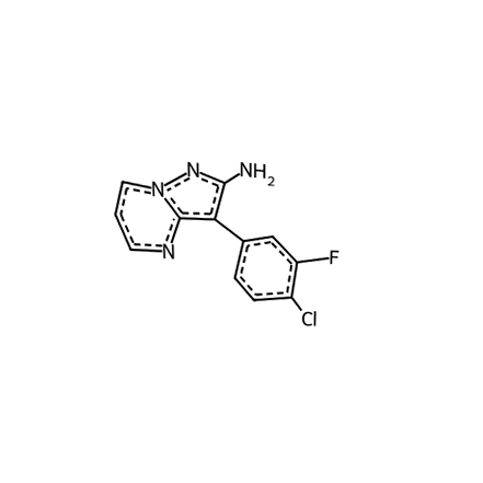 Nc1nn2cccnc2c1-c1ccc(Cl)c(F)c1